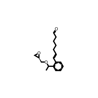 CC(OC[C@H]1CO1)c1ccccc1/C=C/CCCCC=O